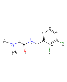 CC(C)N(C)CC(=O)NCc1cccc(Cl)c1F